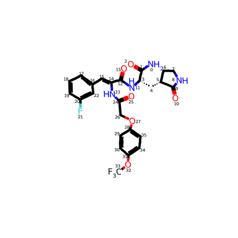 NC(=O)[C@H](C[C@@H]1CCNC1=O)NC(=O)C(=Cc1cccc(F)c1)NC(=O)COc1ccc(OC(F)(F)F)cc1